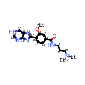 CCOc1cc(C(=O)NCCCN(CC)CC)ccc1-c1nc2c[nH]cnc-2n1